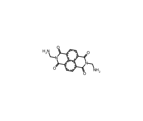 NCN1C(=O)c2ccc3c4c(ccc(c24)C1=O)C(=O)N(CN)C3=O